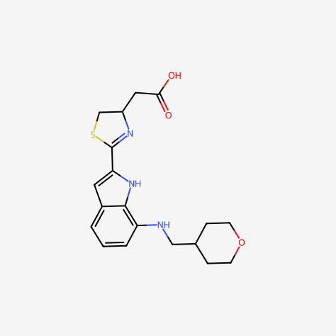 O=C(O)CC1CSC(c2cc3cccc(NCC4CCOCC4)c3[nH]2)=N1